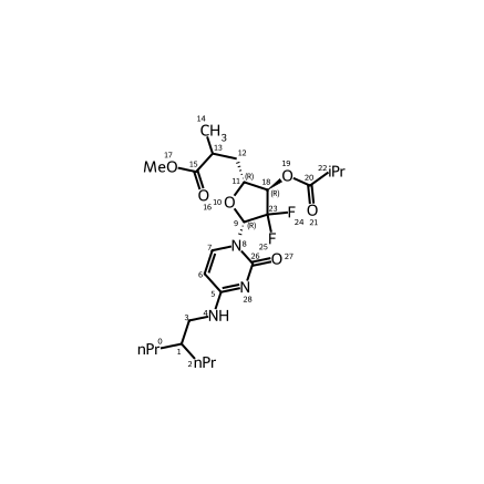 CCCC(CCC)CNc1ccn([C@@H]2O[C@H](CC(C)C(=O)OC)[C@@H](OC(=O)C(C)C)C2(F)F)c(=O)n1